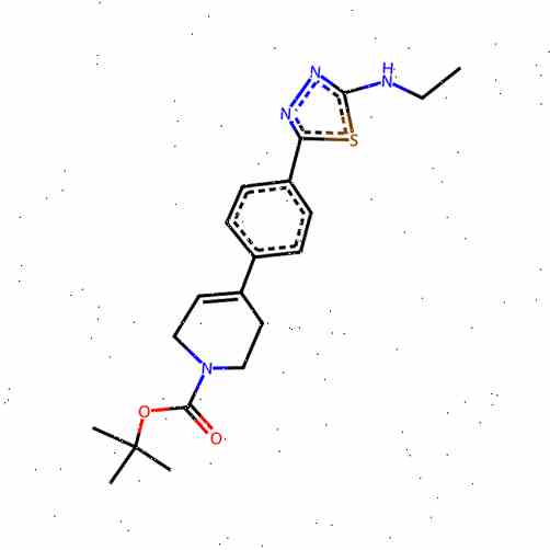 CCNc1nnc(-c2ccc(C3=CCN(C(=O)OC(C)(C)C)CC3)cc2)s1